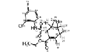 [2H]C1=C(C(=O)OCC)[C@H](S(=O)(=O)Nc2ccc(F)cc2Cl)C([2H])([2H])C([2H])([2H])C1([2H])[2H]